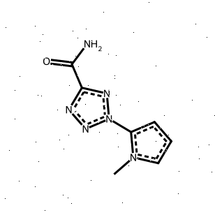 Cn1cccc1-n1nnc(C(N)=O)n1